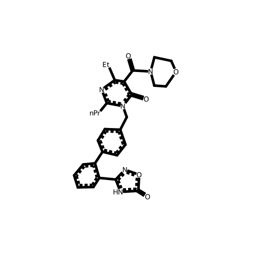 CCCc1nc(CC)c(C(=O)N2CCOCC2)c(=O)n1Cc1ccc(-c2ccccc2-c2noc(=O)[nH]2)cc1